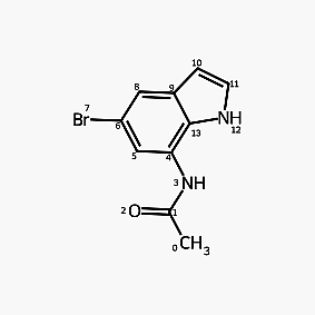 CC(=O)Nc1cc(Br)cc2cc[nH]c12